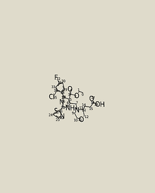 CCOC(=O)C1=C(CN2CCOC[C@@H]2CCC(=O)O)NC(c2nccs2)=N[C@H]1c1ccc(F)cc1Cl